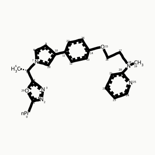 CCCc1nnc([C@H](C)n2ccc(-c3ccc(OCCN(C)c4ccccn4)cc3)c2)o1